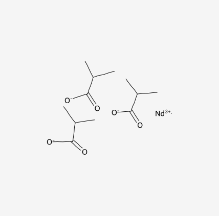 CC(C)C(=O)[O-].CC(C)C(=O)[O-].CC(C)C(=O)[O-].[Nd+3]